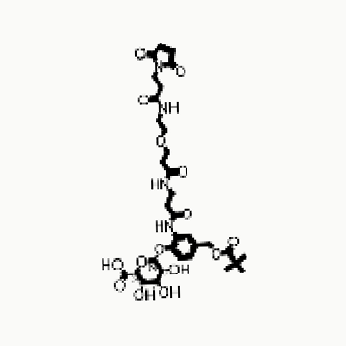 CC(C)(C)C(=O)OCc1ccc(O[C@@H]2O[C@H](C(=O)O)[C@@H](O)[C@H](O)[C@H]2O)c(NC(=O)CCNC(=O)CCOCCNC(=O)CCN2C(=O)C=CC2=O)c1